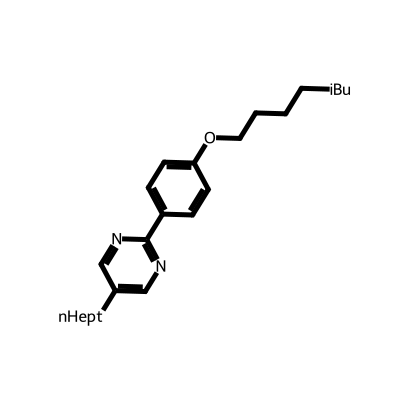 CCCCCCCc1cnc(-c2ccc(OCCCCC(C)CC)cc2)nc1